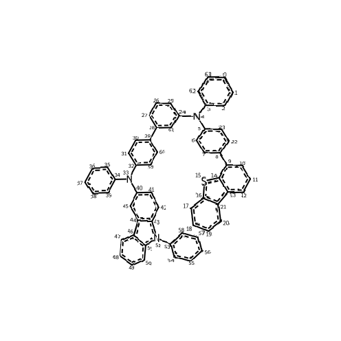 c1ccc(N(c2ccc(-c3cccc4c3sc3ccccc34)cc2)c2cccc(-c3ccc(N(c4ccccc4)c4ccc5c(c4)c4ccccc4n5-c4ccccc4)cc3)c2)cc1